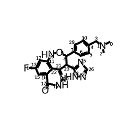 CN(C)Cc1ccc(C2ONc3cc(F)cc4c(=O)[nH]nc(c34)C2c2ncn[nH]2)cc1